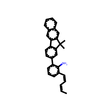 C/C=C\C=C/c1cccc(-c2ccc3c(c2)C(C)(C)c2cc4ccccc4cc2-3)c1N